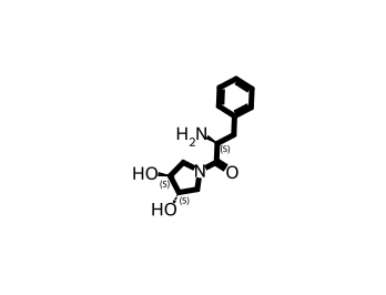 N[C@@H](Cc1ccccc1)C(=O)N1C[C@H](O)[C@@H](O)C1